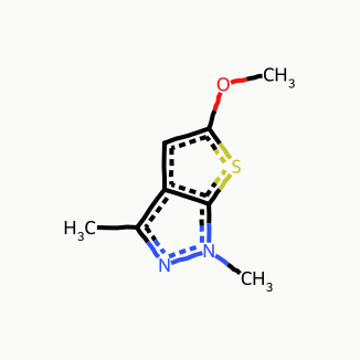 COc1cc2c(C)nn(C)c2s1